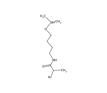 CC(=O)C(C)C(=S)NCCCCO[SiH](C)C